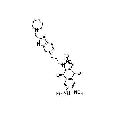 CCNc1cc2c(cc1[N+](=O)[O-])C(=O)c1n[n+]([O-])n(CCCc3ccc4sc(CN5CCCCC5)nc4c3)c1C2=O